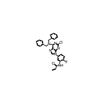 C=CC(=O)Nc1cc(-n2cnc3c(N(Cc4ccccc4)Cc4ccccc4)nc(Cl)nc32)ccc1F